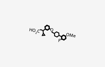 COc1ccc(F)c(C2CCC(COc3cccc(C(CC(=O)O)C4CC4)c3)CC2)c1